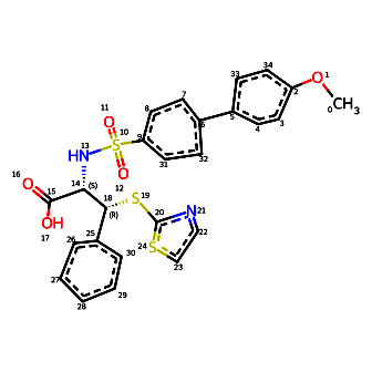 COc1ccc(-c2ccc(S(=O)(=O)N[C@@H](C(=O)O)[C@H](Sc3nccs3)c3ccccc3)cc2)cc1